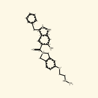 CNCCOc1ccc2c(c1)CN(C(=O)c1cc3c(Cc4ccccc4)n[nH]c3cc1O)C2